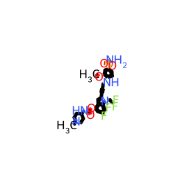 COc1cc(S(N)(=O)=O)ccc1NCC#Cc1cc2c(OC(=O)NC3CCN(C)CC3)cc(F)cc2n1CC(F)(F)F